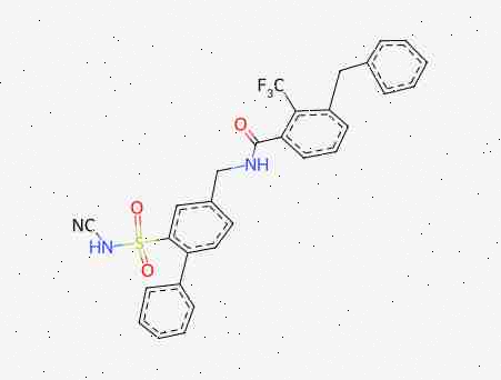 N#CNS(=O)(=O)c1cc(CNC(=O)c2cccc(Cc3ccccc3)c2C(F)(F)F)ccc1-c1ccccc1